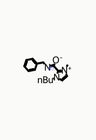 CCCCn1cc[n+](C)c1/C([O-])=N/Cc1ccccc1